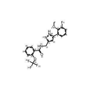 COc1c(F)cccc1-c1cc(CNC(=O)c2ccccc2OC(F)(F)F)n[nH]1